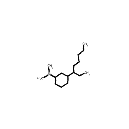 CCCCCC(CC)C1CCCC(N(C)C)C1